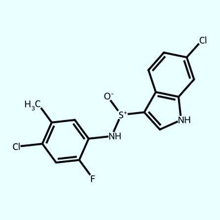 Cc1cc(N[S+]([O-])c2c[nH]c3cc(Cl)ccc23)c(F)cc1Cl